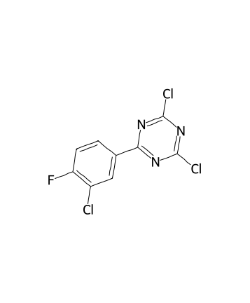 Fc1ccc(-c2nc(Cl)nc(Cl)n2)cc1Cl